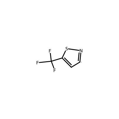 FC(F)(F)c1c[c]ns1